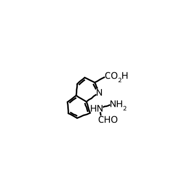 NNC=O.O=C(O)c1ccc2ccccc2n1